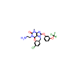 Cn1c(=O)n(CCN)c(=O)c2c1nc(Oc1cccc(OC(F)(F)F)c1)n2CC1C=CC(Cl)=CC1